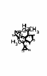 CC(C)c1cccc(C(C)C2CC2)c1-n1ccnc1